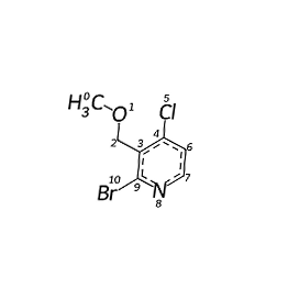 COCc1c(Cl)ccnc1Br